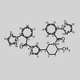 CC1CCC(c2cnn(C(=O)c3ccccc3-n3nccn3)c2)CN1C(=O)c1ccccc1-n1nccn1